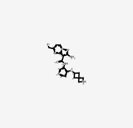 Nc1nn2ccc(CF)nc2c1C(=O)Nc1cnccc1OC1CC2(CNC2)C1